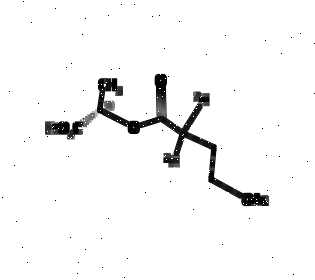 [2H]C([2H])(CCOC(C)=O)C(=O)O[C@@H](C)C(=O)OCC